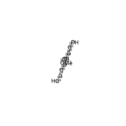 C=COC.OCCOCCOCCOCCOCCOCCOCCO